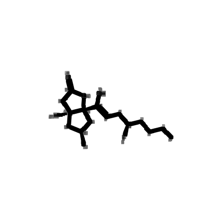 CCCC[C@@H](F)CC=C(O)[C@@]12C[C@@H](C)C[C@H]1CC(=O)O2